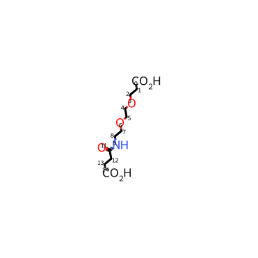 O=C(O)CCOCCOCCNC(=O)CCC(=O)O